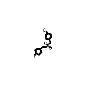 O=S(=O)(C=Cc1ccc(I)cc1)Cc1ccc(Cl)cc1